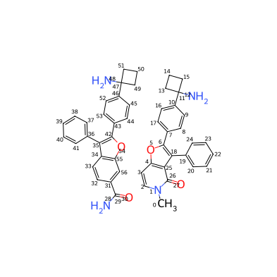 Cn1ccc2oc(-c3ccc(C4(N)CCC4)cc3)c(-c3ccccc3)c2c1=O.NC(=O)c1ccc2c(-c3ccccc3)c(-c3ccc(C4(N)CCC4)cc3)oc2c1